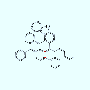 C=C(/C=C(\C/C=C\C=C/C)c1ccc2oc3ccccc3c2c1-c1c2ccccc2c(-c2ccccc2)c2ccccc12)c1ccccc1